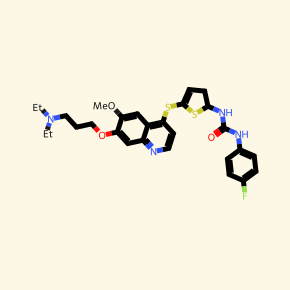 CCN(CC)CCCOc1cc2nccc(SC3=CCC(NC(=O)Nc4ccc(F)cc4)S3)c2cc1OC